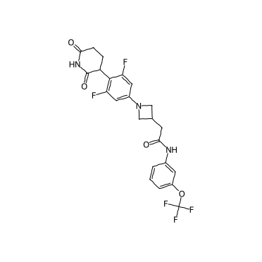 O=C1CCC(c2c(F)cc(N3CC(CC(=O)Nc4cccc(OC(F)(F)F)c4)C3)cc2F)C(=O)N1